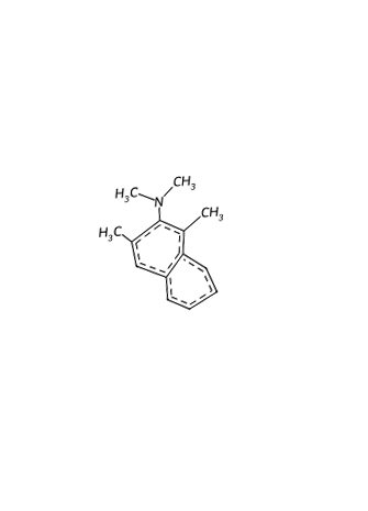 Cc1cc2ccccc2c(C)c1N(C)C